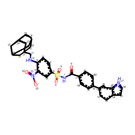 O=C(NS(=O)(=O)c1ccc(NCC23CC4CC(CC(C4)C2)C3)c([N+](=O)[O-])c1)c1ccc(-c2ccc3cc[nH]c3c2)cc1